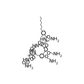 CCCCCCCc1ccc(C(=O)N[C@@H](CCN)C(=O)N(C)[C@@H]2C(=O)N[C@@H](C)C(=O)N[C@H](C(=O)N[C@@H](C)C(=O)NOC(N)=O)Cc3ccc(OCCN)c(c3)-c3cc2ccc3OCCN)c(C)c1